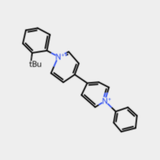 CC(C)(C)c1ccccc1-[n+]1ccc(-c2cc[n+](-c3ccccc3)cc2)cc1